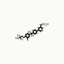 CCC(O)(CC)CCc1ccc(C(CC)(CC)c2ccc(-c3cncc(CC(=O)O)c3)cc2)cc1C